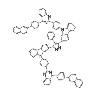 c1ccc(-n2c(-c3ccc4c5ccccc5n(-c5ccc(-c6nc(-c7ccc(-c8ccc9ccccc9c8)cc7)c7ccccc7n6)cc5)c4c3)nnc2-c2ccc3c4ccccc4n(-c4ccc(-c5nc(-c6ccc(-c7ccc8ccccc8c7)cc6)c6ccccc6n5)cc4)c3c2)cc1